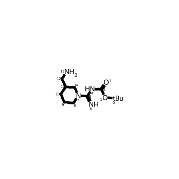 CC(C)(C)OC(=O)NC(=N)N1CCCC(CN)C1